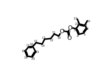 Cc1cccc(OC(=O)OCCCCCCc2ccccc2)c1C